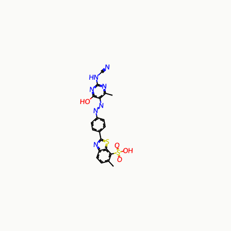 Cc1ccc2nc(-c3ccc(N=Nc4c(C)nc(NC#N)nc4O)cc3)sc2c1S(=O)(=O)O